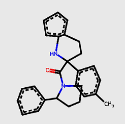 Cc1ccc(C2(C(=O)N3CCCC3c3ccccc3)CCc3ccccc3N2)cc1